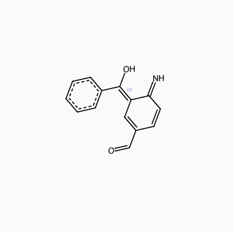 N=C1C=CC(C=O)=C/C1=C(/O)c1ccccc1